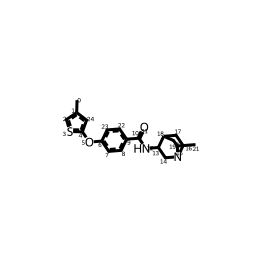 Cc1csc(Oc2ccc(C(=O)NC3CN4CCC3CC4C)cc2)c1